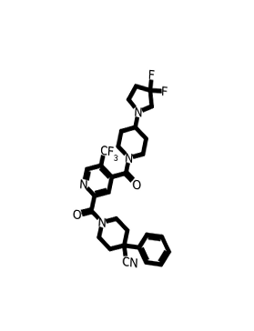 N#CC1(c2ccccc2)CCN(C(=O)c2cc(C(=O)N3CCC(N4CCC(F)(F)C4)CC3)c(C(F)(F)F)cn2)CC1